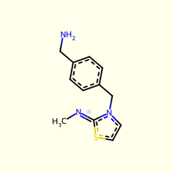 C/N=c1\sccn1Cc1ccc(CN)cc1